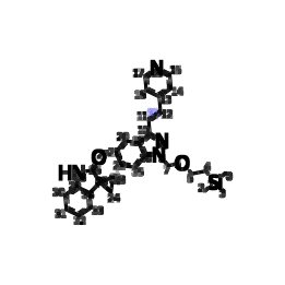 C[Si](C)(C)CCOCn1nc(/C=C/c2ccncc2)c2ccc([C@@H]3C[C@@]34C(=O)Nc3ccccc34)cc21